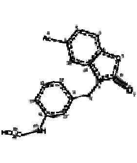 CC(=O)c1ccc2oc(=O)n(Cc3cccc(NC(=O)O)c3)c2c1